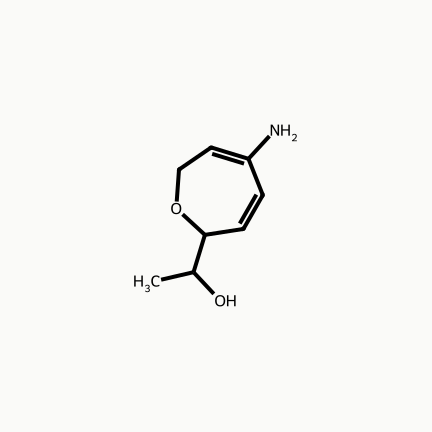 CC(O)C1C=CC(N)=CCO1